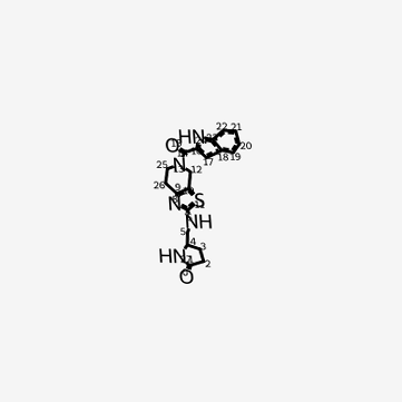 O=C1CCC(CNc2nc3c(s2)CN(C(=O)c2cc4ccccc4[nH]2)CC3)N1